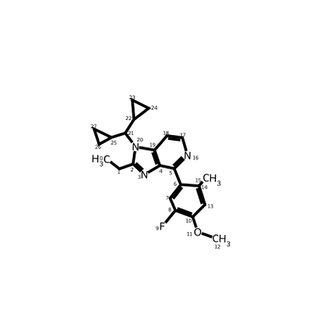 CCc1nc2c(-c3cc(F)c(OC)cc3C)nccc2n1C(C1CC1)C1CC1